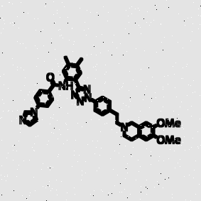 COc1cc2c(cc1OC)CN(CCc1ccc(-n3nnc(-c4cc(C)c(C)cc4NC(=O)c4ccc(-n5ccnc5)cc4)n3)cc1)CC2